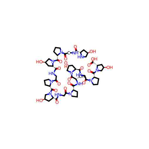 C[C@H](NC(=O)[C@@H]1CCCN1C(=O)CNC(=O)[C@@H]1C[C@@H](O)CN1C(=O)[C@@H]1CCCN1C(=O)CNC(=O)[C@@H]1C[C@@H](O)CN1C(=O)[C@@H]1CCCN1C(=O)CNC(=O)[C@@H]1C[C@@H](O)CN1)C(=O)N1C[C@H](O)C[C@H]1C(=O)NCC(=O)N1CCC[C@H]1C(=O)N1C[C@H](O)C[C@H]1C(=O)O